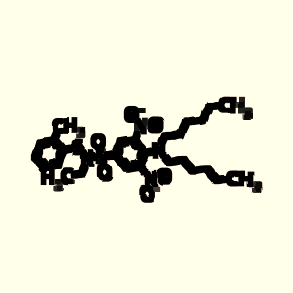 CCCCCCN(CCCCCC)c1c([N+](=O)[O-])cc(S(=O)(=O)N(CC)Sc2ccccc2C)cc1[N+](=O)[O-]